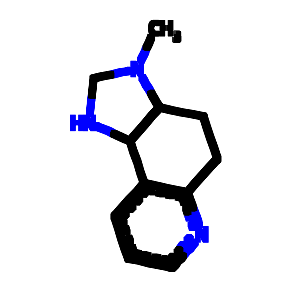 CN1CNC2c3cccnc3CCC21